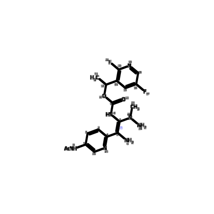 CC(=O)Nc1ccc(/C(N)=C(\NC(=O)OC(C)c2cc(F)cnc2F)N(C)N)nc1